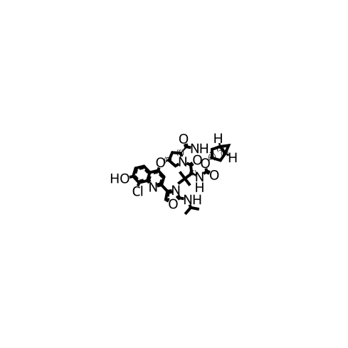 CC(C)Nc1nc(-c2cc(O[C@@H]3C[C@@H](C(N)=O)N(C(=O)[C@@H](NC(=O)O[C@@H]4C[C@@H]5C[C@@H]5C4)C(C)(C)C)C3)c3ccc(O)c(Cl)c3n2)co1